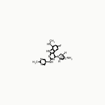 CNc1cc(F)cc2c1[nH]c1nc(Nc3cnc(C)nc3)nc(N3C[C@H]4C[C@@H]3C[C@H]4N)c12